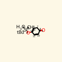 CC(C)(C)[Si](C)(C)OC1=CCC(=O)C=C1